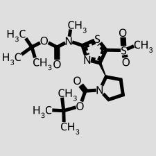 CN(C(=O)OC(C)(C)C)c1nc([C@H]2CCCN2C(=O)OC(C)(C)C)c(S(C)(=O)=O)s1